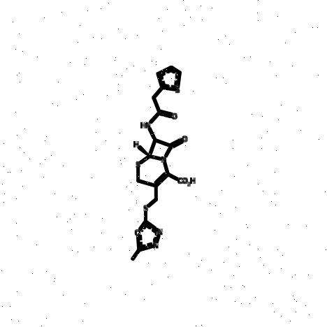 Cc1nnc(SCC2=C(C(=O)O)N3C(=O)C(NC(=O)Cc4cccs4)[C@H]3SC2)o1